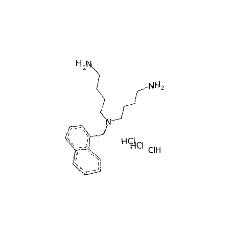 Cl.Cl.Cl.NCCCCN(CCCCN)Cc1cccc2ccccc12